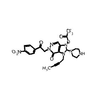 CC#CCN1c2c(cnn(CC(=O)c3ccc([N+](=O)[O-])cc3)c2=O)N(OC(=O)C(F)(F)F)C1N1CCNCC1